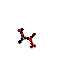 c1ccc(N(c2ccccc2)c2ccc(-c3ccc(N(c4ccc(-c5ccc(N(c6ccc(-c7ccc(N(c8ccccc8)c8ccccc8)cc7)cc6)c6ccc(-c7cc8ccccc8s7)cc6)cc5)cc4)c4ccc(-c5cc6ccccc6s5)cc4)cc3)cc2)cc1